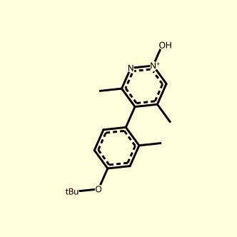 Cc1cc(OC(C)(C)C)ccc1-c1c(C)c[n+](O)nc1C